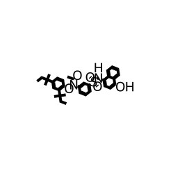 CCC(C)(C)c1ccc(ON(C(C)=O)c2cccc(S(=O)(=O)Nc3ccc(O)c4ccccc34)c2)c(C(C)(C)CC)c1